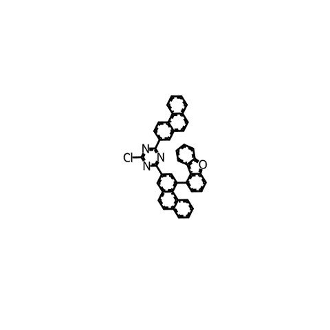 Clc1nc(-c2ccc3c(ccc4ccccc43)c2)nc(-c2cc(-c3cccc4oc5ccccc5c34)c3c(ccc4ccccc43)c2)n1